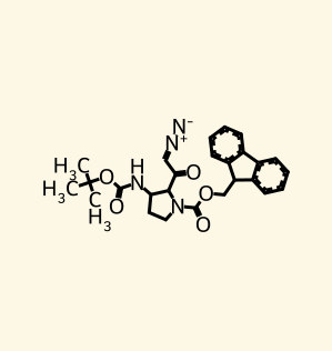 CC(C)(C)OC(=O)NC1CCN(C(=O)OCC2c3ccccc3-c3ccccc32)C1C(=O)C=[N+]=[N-]